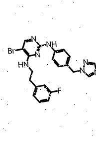 Fc1cccc(CCNc2nc(Nc3ccc(Cn4cncn4)cc3)ncc2Br)c1